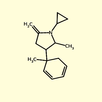 C=C1CC(C2(C)C=CC=CC2)C(C)N1C1CC1